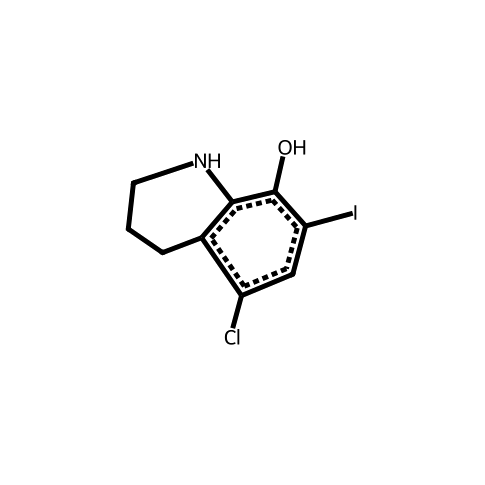 Oc1c(I)cc(Cl)c2c1NCCC2